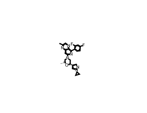 Cc1cnc2c(-c3ccc(F)cc3F)nc(N3C[C@@H](C)O[C@H](c4cnn(C5CC5)c4)C3)cc2n1